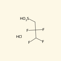 Cl.O=S(=O)(O)CC(F)(F)C(F)F